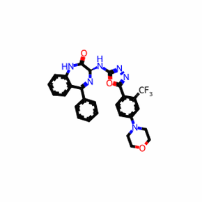 O=C1Nc2ccccc2C(c2ccccc2)=N[C@@H]1Nc1nnc(-c2ccc(N3CCOCC3)cc2C(F)(F)F)o1